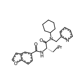 CC(C)C[C@H](NC(=O)c1ccc2occc2c1)C(=O)N(Cc1ccccn1)C1CCCCC1